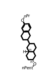 CCCCCO[C@@H]1CC[C@@H]2CC(C3CCc4cc(OCCC)ccc4C3)CCC2C1